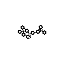 c1ccc(-n2c3ccccc3c3cc(-c4ccc(N(c5ccc6c(c5)C(c5ccccc5)(c5ccccc5)c5ccccc5-6)c5ccccn5)cc4)ccc32)cc1